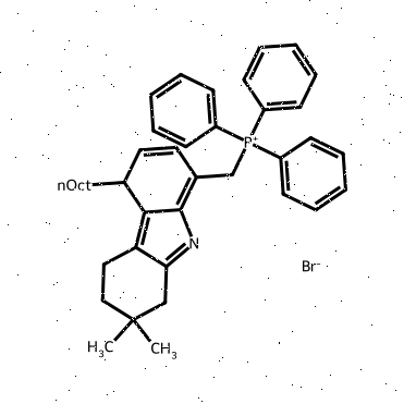 CCCCCCCCC1C=CC(C[P+](c2ccccc2)(c2ccccc2)c2ccccc2)=C2N=C3CC(C)(C)CCC3=C21.[Br-]